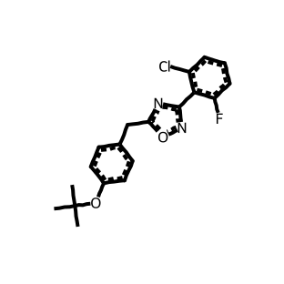 CC(C)(C)Oc1ccc(Cc2nc(-c3c(F)cccc3Cl)no2)cc1